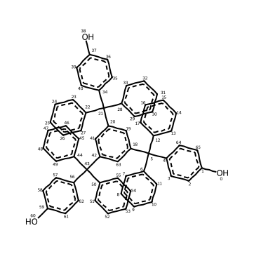 Oc1ccc(C(c2ccccc2)(c2ccccc2)c2cc(C(c3ccccc3)(c3ccccc3)c3ccc(O)cc3)cc(C(c3ccccc3)(c3ccccc3)c3ccc(O)cc3)c2)cc1